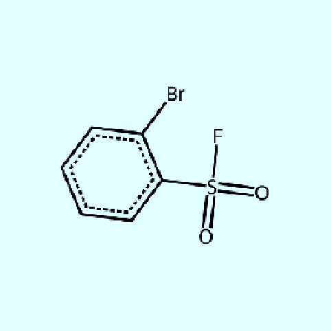 O=S(=O)(F)c1ccccc1Br